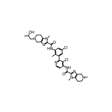 Cc1c(NC(=O)c2nc3c(n2C)CCN(CC(C)O)C3)cc(Cl)cc1-c1nccc(NC(=O)c2nc3c(n2C)CCN(C)C3)c1Cl